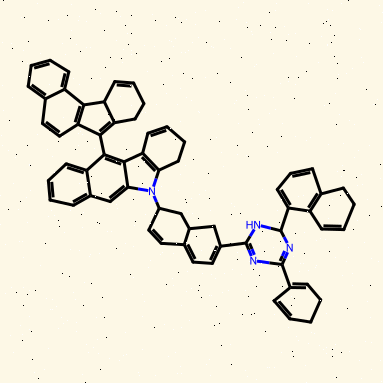 C1=CC(C2=NC(c3cccc4c3C=CCC4)NC(C3=CC=C4C=CC(n5c6c(c7c(C8=C9CCC=CC9c9c8ccc8ccccc98)c8ccccc8cc75)C=CCC6)CC4C3)=N2)=CCC1